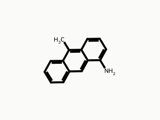 Cc1c2ccccc2cc2c(N)cccc12